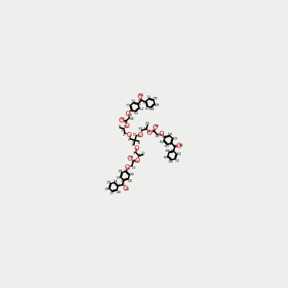 CC(COCC(C)(COCC(C)OC(=O)COc1ccc(C(=O)c2ccccc2)cc1)COCC(C)OC(=O)COc1ccc(C(=O)c2ccccc2)cc1)OC(=O)COc1ccc(C(=O)c2ccccc2)cc1